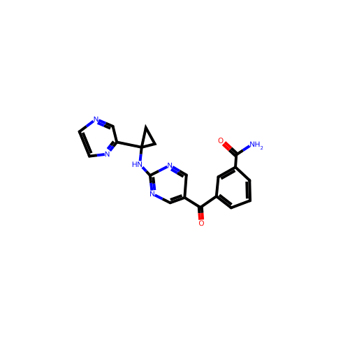 NC(=O)c1cccc(C(=O)c2cnc(NC3(c4cnccn4)CC3)nc2)c1